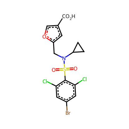 O=C(O)c1coc(CN(C2CC2)S(=O)(=O)c2c(Cl)cc(Br)cc2Cl)c1